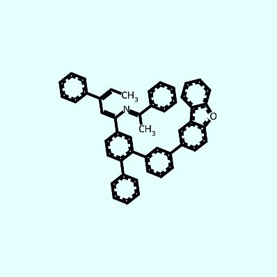 C\C=C(/C=C(\N=C(/C)c1ccccc1)c1ccc(-c2ccccc2)c(-c2cccc(-c3ccc4oc5ccccc5c4c3)c2)c1)c1ccccc1